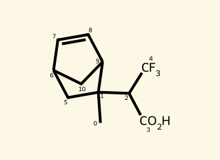 CC1(C(C(=O)O)C(F)(F)F)CC2C=CC1C2